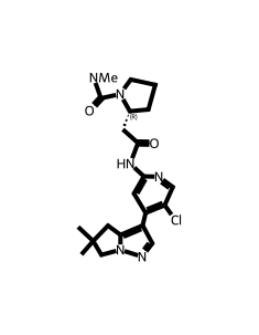 CNC(=O)N1CCC[C@@H]1CC(=O)Nc1cc(-c2cnn3c2CC(C)(C)C3)c(Cl)cn1